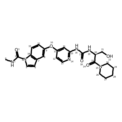 CNC(=O)n1ccc2cc(Oc3ccnc(NC(=O)N[C@@H](CO)C(=O)N4CCCCC4)c3)ccc21